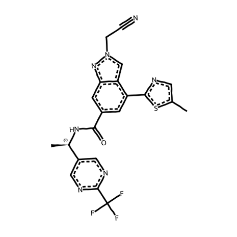 Cc1cnc(-c2cc(C(=O)N[C@H](C)c3cnc(C(F)(F)F)nc3)cc3nn(CC#N)cc23)s1